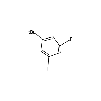 CC(C)(C)c1cc(F)cc(I)c1